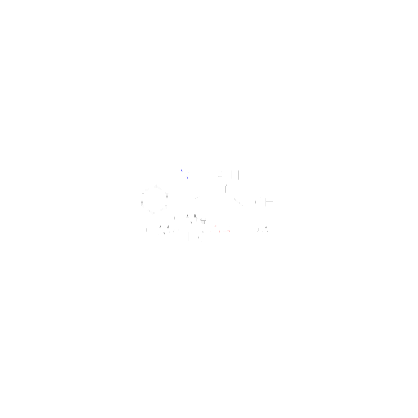 COc1ccc2c(c1OC)CN(C[C@@H](C)[C@@H]1CC[C@@H](C)[C@]3(O)[C][C@@H](OC(C)=O)C(C)=C[C@H]13)CC2